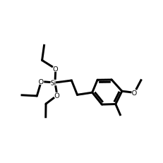 CCO[Si](CCc1ccc(OC)c(C)c1)(OCC)OCC